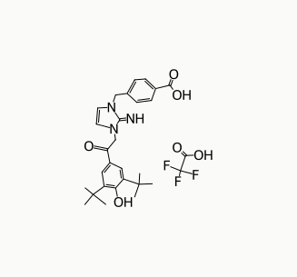 CC(C)(C)c1cc(C(=O)Cn2ccn(Cc3ccc(C(=O)O)cc3)c2=N)cc(C(C)(C)C)c1O.O=C(O)C(F)(F)F